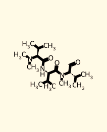 CC(C)[C@H](NC(=O)[C@H](C(C)C)N(C)C)C(=O)N(C)[C@H]([C]=O)C(C)C